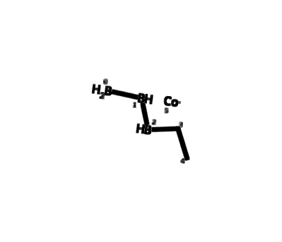 BBBCC.[Co]